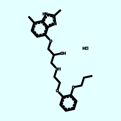 CCCOc1ccccc1OCCNCC(O)COc1ccc(C)c2[nH]c(C)nc12.Cl